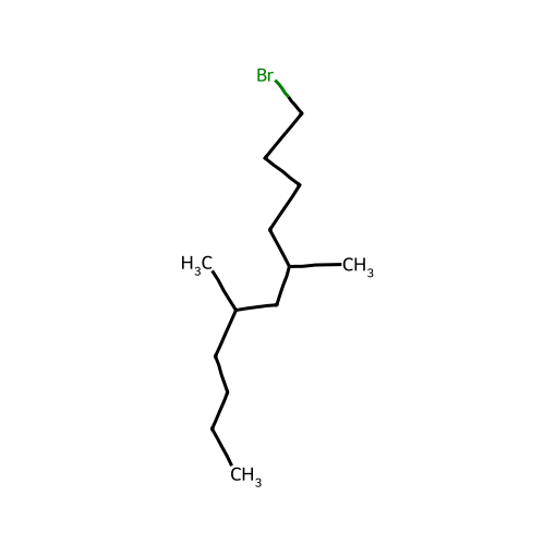 CCCCC(C)CC(C)CCCCBr